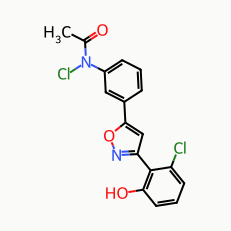 CC(=O)N(Cl)c1cccc(-c2cc(-c3c(O)cccc3Cl)no2)c1